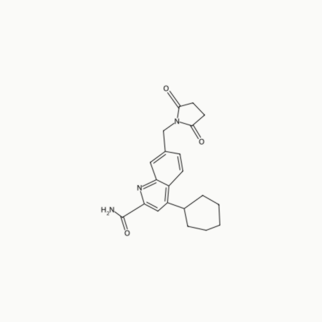 NC(=O)c1cc(C2CCCCC2)c2ccc(CN3C(=O)CCC3=O)cc2n1